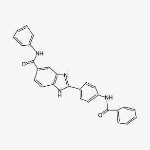 O=C(Nc1ccc(-c2nc3cc(C(=O)Nc4ccccc4)ccc3[nH]2)cc1)c1ccccc1